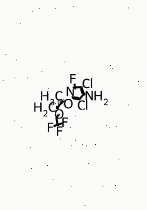 C=C(OCC(F)(F)F)[C@@H](C)Oc1nc(F)c(Cl)c(N)c1Cl